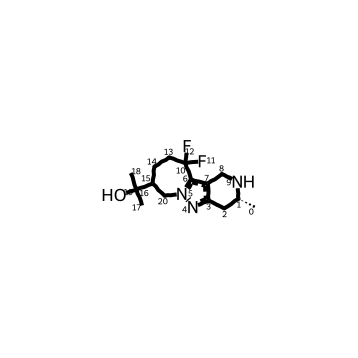 C[C@@H]1Cc2nn3c(c2CN1)C(F)(F)CCC(C(C)(C)O)C3